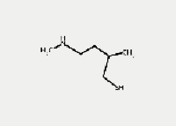 CNCCC(C)CS